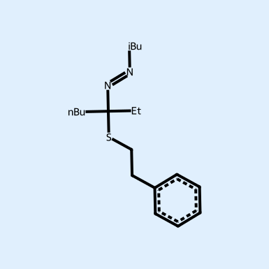 CCCCC(CC)(N=NC(C)CC)SCCc1ccccc1